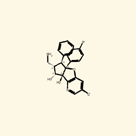 NC[C@H]1[C@@H](O)[C@@]2(O)c3ncc(Cl)cc3O[C@@]2(c2ccc(Br)cc2)[C@@H]1c1ccccc1